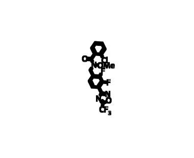 CON(Cc1ccc(-c2noc(C(F)(F)F)n2)c(F)c1F)C(=O)c1ccccc1Cl